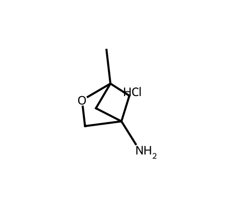 CC12CC(N)(CO1)C2.Cl